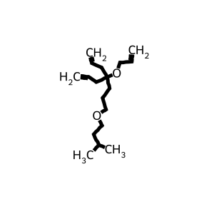 C=CCOC(CC=C)(CC=C)CCCOCCC(C)C